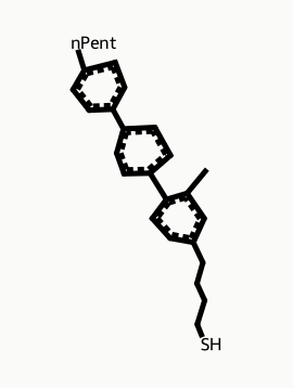 CCCCCc1ccc(-c2ccc(-c3ccc(CCCCS)cc3C)cc2)cc1